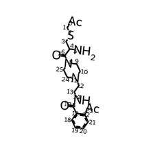 CC(=O)CSCC(N)C(=O)N1CCN(CCNC(=O)c2ccccc2C(C)=O)CC1